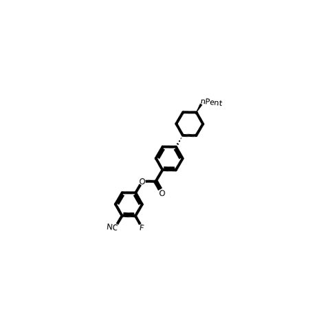 CCCCC[C@H]1CC[C@H](c2ccc(C(=O)Oc3ccc(C#N)c(F)c3)cc2)CC1